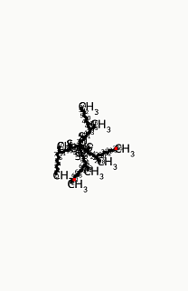 CCCCCCCCC(CC)CCCC(=S)OCC(COC(=S)CCCC(CC)CCCCCCCC)(COC(=S)CCCC(CC)CCCCCCCC)COC(=S)CCCC(CC)CCCCCCCC